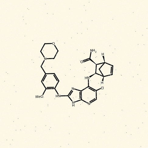 COc1cc(CN2CCOCC2)ccc1Nc1nc2c(N[C@H]3[C@@H](C(N)=O)[C@@H]4C=C[C@H]3C4)c(Cl)cnc2[nH]1